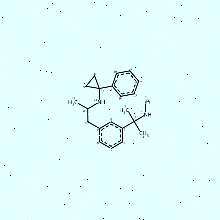 CC(C)NC(C)(C)c1cccc(CC(C)NC2(c3ccccc3)CC2)c1